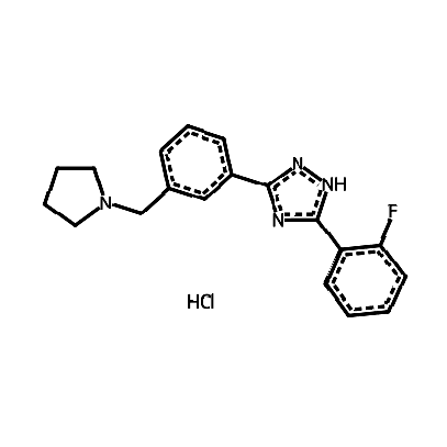 Cl.Fc1ccccc1-c1nc(-c2cccc(CN3CCCC3)c2)n[nH]1